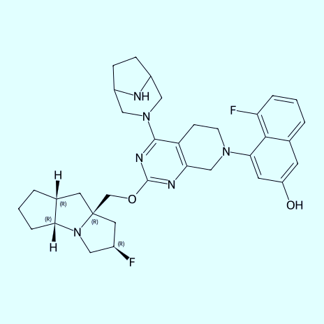 Oc1cc(N2CCc3c(nc(OC[C@@]45C[C@@H](F)CN4[C@@H]4CCC[C@@H]4C5)nc3N3CC4CCC(C3)N4)C2)c2c(F)cccc2c1